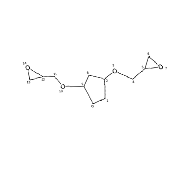 C1CC(OCC2CO2)CC1OCC1CO1